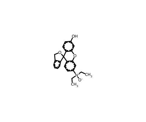 CC[N+]([O-])(CC)c1ccc2c(c1)Oc1cc(O)ccc1C21OCc2ccccc21